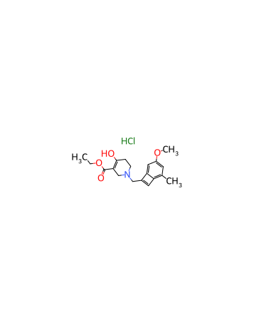 CCOC(=O)C1=C(O)CCN(CC2=Cc3c(C)cc(OC)cc32)C1.Cl